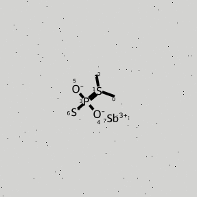 CS(C)=P([O-])([O-])[S-].[Sb+3]